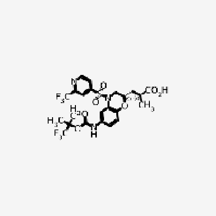 C[C@@H](C[C@H]1CN(S(=O)(=O)c2ccnc(C(F)(F)F)c2)c2cc(NC(=O)OC(C)(C)C(F)(F)F)ccc2O1)C(=O)O